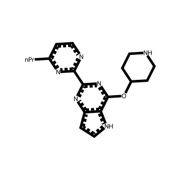 CCCc1ccnc(-c2nc(OC3CCNCC3)c3[nH]ccc3n2)n1